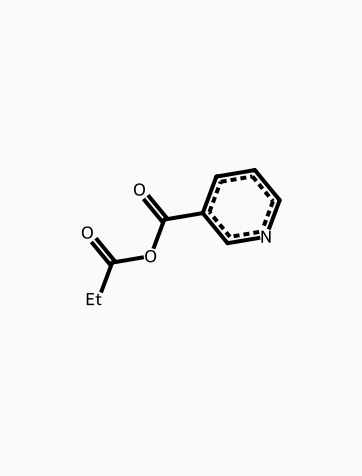 CCC(=O)OC(=O)c1cccnc1